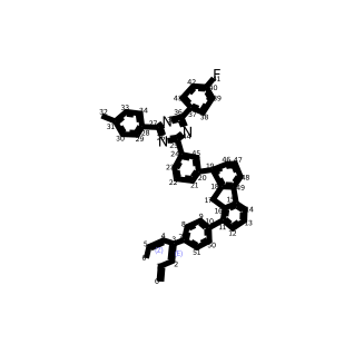 C=C/C=C(\C=C/C)c1ccc(-c2cccc3c2Cc2c(-c4cccc(-c5nc(-c6ccc(C)cc6)nc(-c6ccc(F)cc6)n5)c4)cccc2-3)cc1